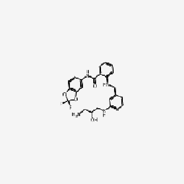 NCC(O)CNc1cc(CNc2ccccc2C(=O)Nc2ccc3c(c2)OC(F)(F)O3)ccn1